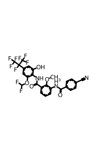 COc1c(NC(=O)c2ccc(C#N)cc2)cccc1C(=O)Nc1c(O)cc(C(F)(C(F)(F)F)C(F)(F)F)cc1OC(F)F